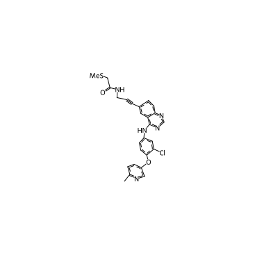 CSCC(=O)NCC#Cc1ccc2ncnc(Nc3ccc(Oc4ccc(C)nc4)c(Cl)c3)c2c1